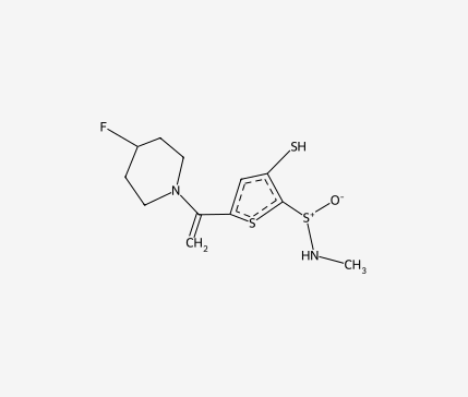 C=C(c1cc(S)c([S+]([O-])NC)s1)N1CCC(F)CC1